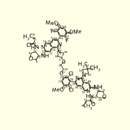 C=CC(=O)N[C@H]1COC[C@H]1Nc1cc2c(N3CC(OCCOc4cc(OC)c(Cl)c(-c5cc6cnc(N[C@@H]7COC[C@@H]7NC(=O)C=C)cc6c(N6CC(C)(C)C6)n5)c4Cl)C3)nc(-c3c(F)c(OC)cc(OC)c3F)cc2cn1